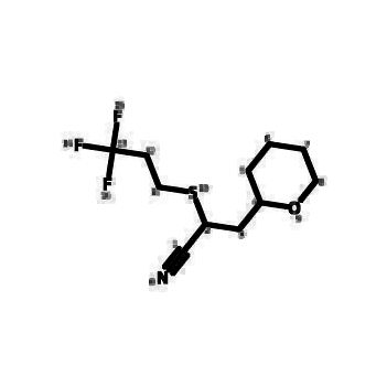 N#CC(CC1CCCCO1)SCCC(F)(F)F